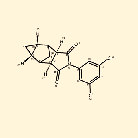 O=C1[C@@H]2C3CC([C@@H]4C[C@H]34)[C@@H]2C(=O)N1c1cc(Cl)cc(Cl)c1